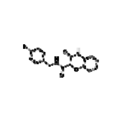 O=C(NCc1ccc(F)cc1)C1Oc2ccccc2NC1=O